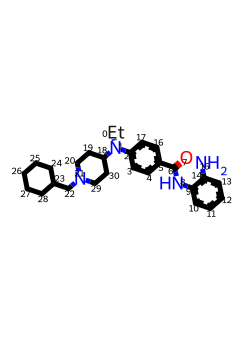 CCN(c1ccc(C(=O)Nc2ccccc2N)cc1)C1CCN(CC2CCCCC2)CC1